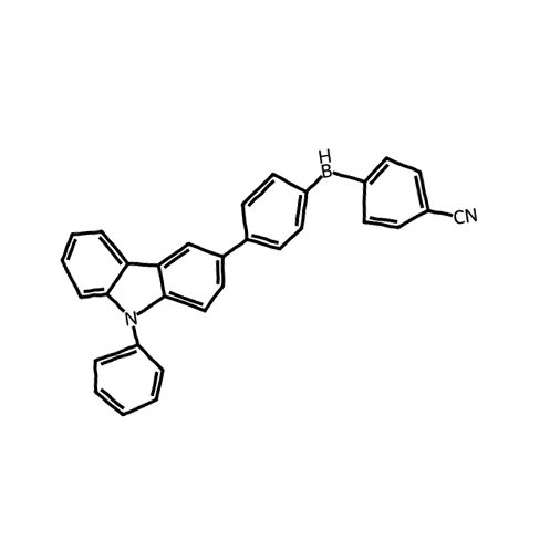 N#Cc1ccc(Bc2ccc(-c3ccc4c(c3)c3ccccc3n4-c3ccccc3)cc2)cc1